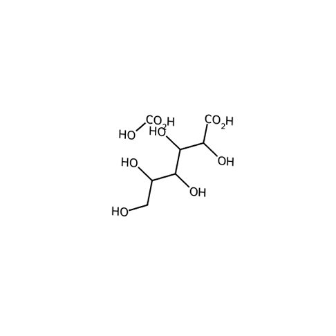 O=C(O)C(O)C(O)C(O)C(O)CO.O=C(O)O